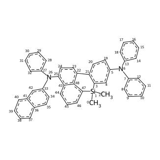 C[Si]1(C)c2cc(N(c3ccccc3)c3ccccc3)ccc2-c2ccc(N(c3ccccc3)c3ccc4ccccc4c3)c3cccc1c23